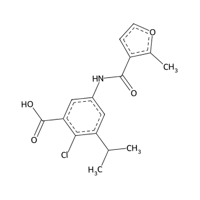 Cc1occc1C(=O)Nc1cc(C(=O)O)c(Cl)c(C(C)C)c1